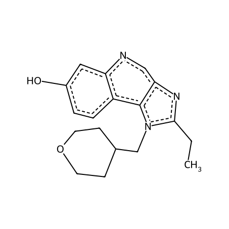 CCc1nc2cnc3cc(O)ccc3c2n1CC1CCOCC1